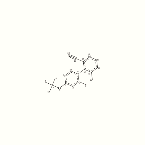 Cc1cc(OC(C)(C)C)ccc1-c1c(C)ccnc1C#N